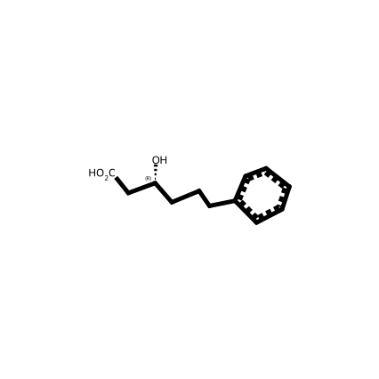 O=C(O)C[C@H](O)CCCc1ccccc1